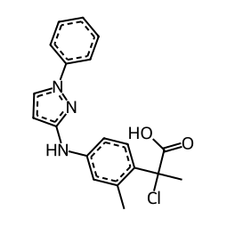 Cc1cc(Nc2ccn(-c3ccccc3)n2)ccc1C(C)(Cl)C(=O)O